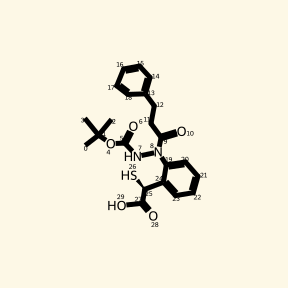 CC(C)(C)OC(=O)NN(C(=O)CCc1ccccc1)c1ccccc1[C@H](S)C(=O)O